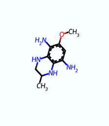 COc1cc(N)c2c(c1N)NCC(C)N2